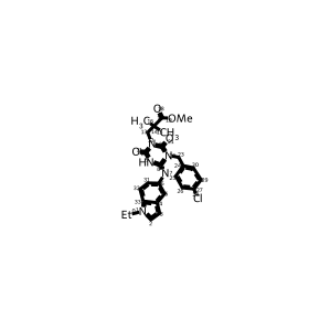 CCn1ccc2cc(/N=c3\[nH]c(=O)n(CC(C)(C)C(=O)OC)c(=O)n3Cc3ccc(Cl)cc3)ccc21